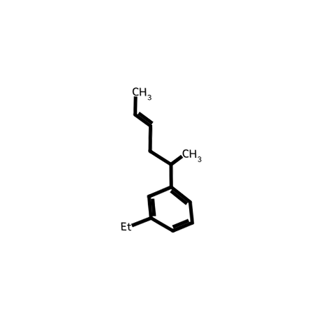 CC=CCC(C)c1cccc(CC)c1